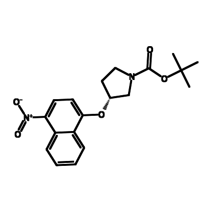 CC(C)(C)OC(=O)N1CC[C@@H](Oc2ccc([N+](=O)[O-])c3ccccc23)C1